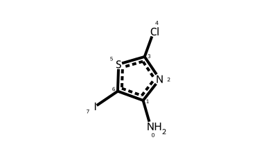 Nc1nc(Cl)sc1I